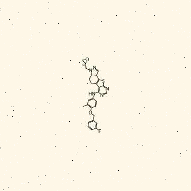 Cc1cc(Nc2ncnc3sc4c(c23)CCC2C4C=NN2C[C@H]2CO2)ccc1OCc1cccc(F)c1